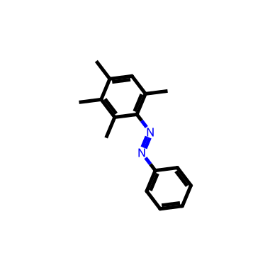 Cc1cc(C)c(N=Nc2ccccc2)c(C)c1C